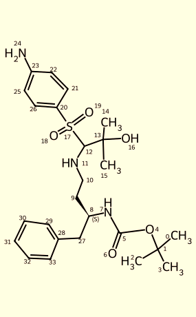 CC(C)(C)OC(=O)N[C@H](CCNC(C(C)(C)O)S(=O)(=O)c1ccc(N)cc1)Cc1ccccc1